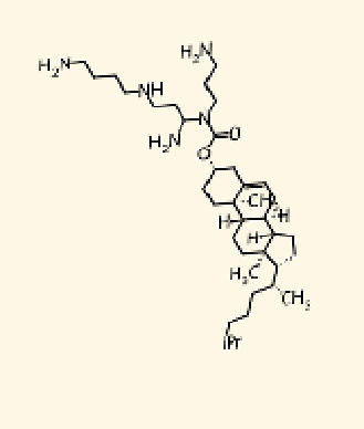 CC(C)CCC[C@@H](C)[C@H]1CC[C@H]2[C@@H]3CC=C4C[C@@H](OC(=O)N(CCCN)C(N)CCNCCCCN)CC[C@]4(C)[C@H]3CC[C@]12C